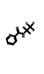 CC(C)(NC(=O)c1ccccn1)C(F)(F)F